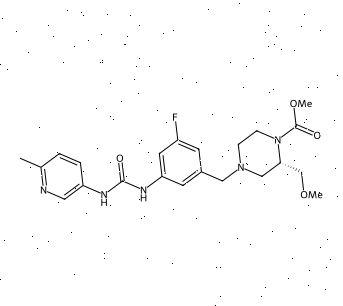 COC[C@@H]1CN(Cc2cc(F)cc(NC(=O)Nc3ccc(C)nc3)c2)CCN1C(=O)OC